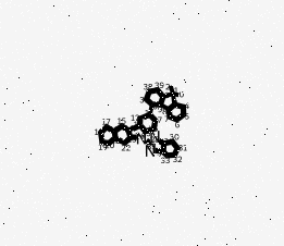 CC1(C)c2ccccc2-c2c(-c3cc4c5cc6ccccc6cc5n5c4c(c3)n3c4ccccc4nc35)cccc21